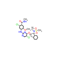 CNC(=O)c1cc(OC)c(Nc2ncc(Cl)c(O[C@@H]3Cc4ccccc4[C@H]3N(C)S(C)(=O)=O)n2)cc1Cl